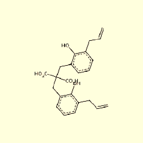 C=CCc1cccc(CC(Cc2cccc(CC=C)c2O)(C(=O)O)C(=O)O)c1O